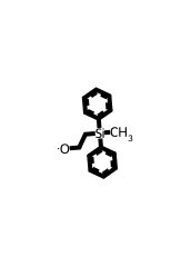 C[Si](CC[O])(c1ccccc1)c1ccccc1